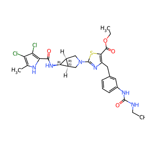 CCNC(=O)Nc1cccc(Cc2nc(N3C[C@@H]4[C@H](C3)[C@@H]4NC(=O)c3[nH]c(C)c(Cl)c3Cl)sc2C(=O)OCC)c1